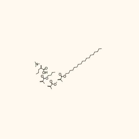 C=C(C)C(=O)OC.C=C(C)C(=O)OCCCC.C=C(C)C(=O)OCCCCCCCCCCCCCCCCCC.C=C(CCC)C(=O)O.CN(C)C